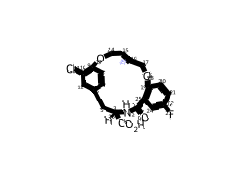 O=C1N[C@H](C(=O)O)Cc2ccc(c(Cl)c2)OC/C=C/COc2ccc(F)cc21